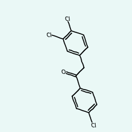 O=C(Cc1ccc(Cl)c(Cl)c1)c1ccc(Cl)cc1